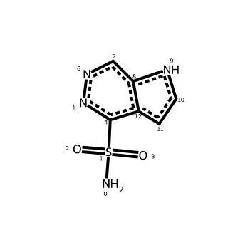 NS(=O)(=O)c1nncc2[nH]ccc12